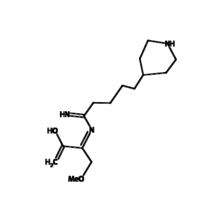 C=C(O)/C(COC)=N\C(=N)CCCCC1CCNCC1